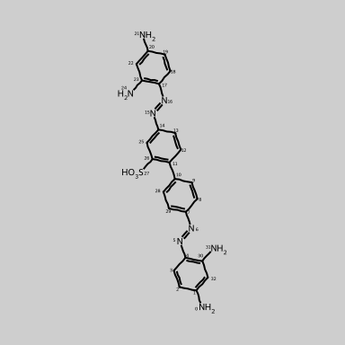 Nc1ccc(N=Nc2ccc(-c3ccc(N=Nc4ccc(N)cc4N)cc3S(=O)(=O)O)cc2)c(N)c1